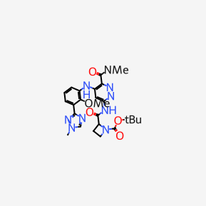 CNC(=O)c1nnc(NC(=O)C2CCN2C(=O)OC(C)(C)C)cc1Nc1cccc(-c2ncn(C)n2)c1OC